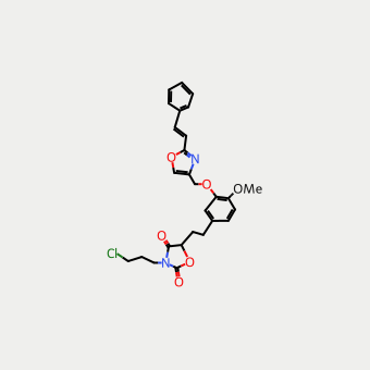 COc1ccc(CCC2OC(=O)N(CCCCl)C2=O)cc1OCc1coc(/C=C/c2ccccc2)n1